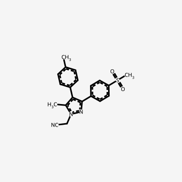 Cc1ccc(-c2c(-c3ccc(S(C)(=O)=O)cc3)nn(CC#N)c2C)cc1